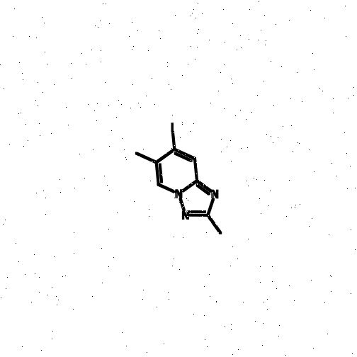 Cc1nc2cc(I)c(C)cn2n1